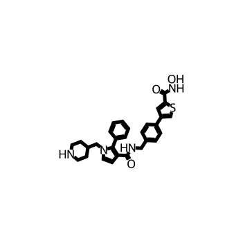 O=C(NO)c1cc(-c2ccc(CNC(=O)c3ccn(CC4CCNCC4)c3-c3ccccc3)cc2)cs1